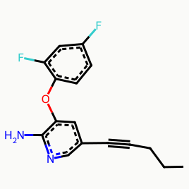 CCCC#Cc1cnc(N)c(Oc2ccc(F)cc2F)c1